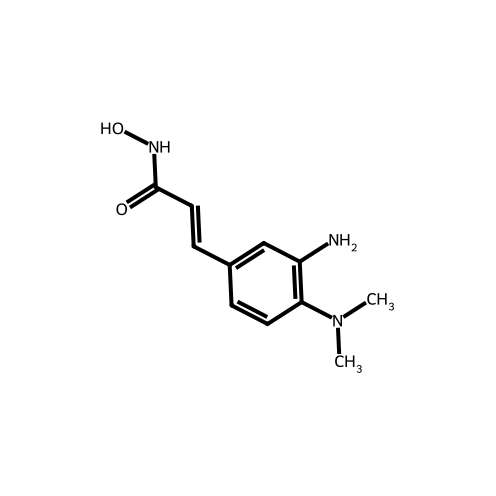 CN(C)c1ccc(/C=C/C(=O)NO)cc1N